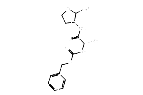 CCC[C@H](NC(=O)OCc1ccccc1)C(=O)N[C@H]1CCOC1O